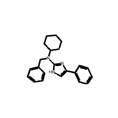 c1ccc(CN(c2nc(-c3ccccc3)c[nH]2)C2CCCCC2)cc1